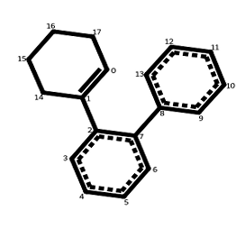 C1=C(c2ccccc2-c2ccccc2)CCCC1